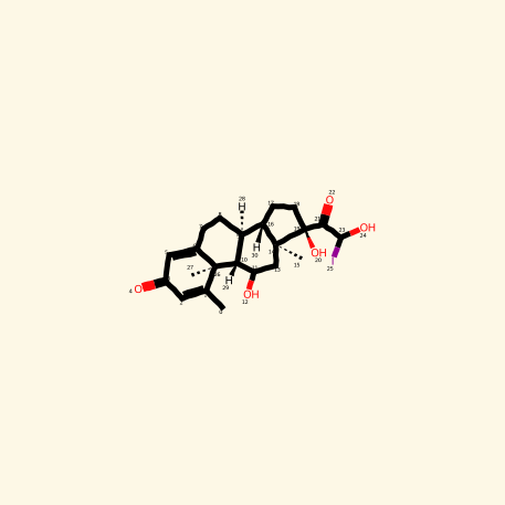 CC1=CC(=O)C=C2CC[C@@H]3[C@H](C(O)C[C@@]4(C)[C@H]3CC[C@]4(O)C(=O)C(O)I)[C@@]12C